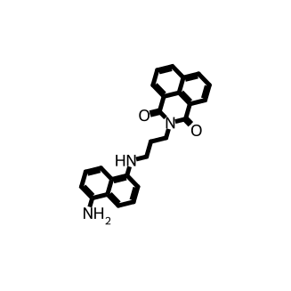 Nc1cccc2c(NCCCN3C(=O)c4cccc5cccc(c45)C3=O)cccc12